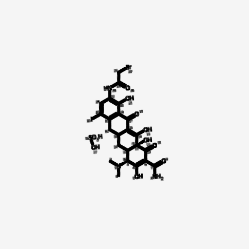 CN(C)[C@@H]1C(O)=C(C(N)=O)C(=O)[C@@]2(O)C(O)=C3C(=O)c4c(O)c(NC(=O)CBr)cc(I)c4CC3CC12.O=S(=O)(O)O